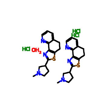 CN1CCC(c2nc3c(s2)CCc2cccnc2-3)C1.CN1CCC(c2nc3c(s2)CCc2cccnc2-3)C1.Cl.Cl.Cl.O